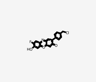 O=c1cc2oc3cc(O)c(F)cc3nc-2cc1-c1ccc(CCl)cc1